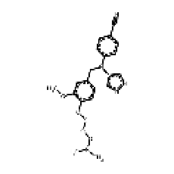 COc1cc(CN(c2ccc(C#N)cc2)n2cnnc2)ccc1OSOON(C)C